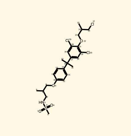 CC(CNS(C)(=O)=O)COc1ccc(C(C)(C)c2cc(Cl)c(OCC(C)CCl)c(Cl)c2)cc1